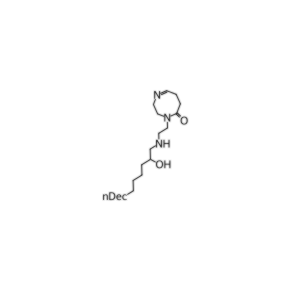 CCCCCCCCCCCCCCC(O)CNCCN1CC/N=C\CCC1=O